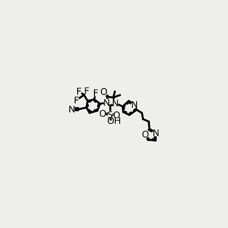 CC1(C)C(=O)N(c2ccc(C#N)c(C(F)(F)F)c2F)C(S(=O)(=O)O)N1c1ccc(CCCc2ncco2)nc1